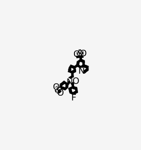 CC(C)(c1cc(-c2cccc(CCN(C(=O)c3ccc(F)cc3)c3ccc(S(C)(=O)=O)cc3)c2)c2ncccc2c1)S(C)(=O)=O